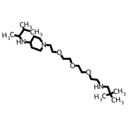 CC(C)C(C)NC1CCN(CCOCCOCCOCCNCC(C)(C)C)CC1